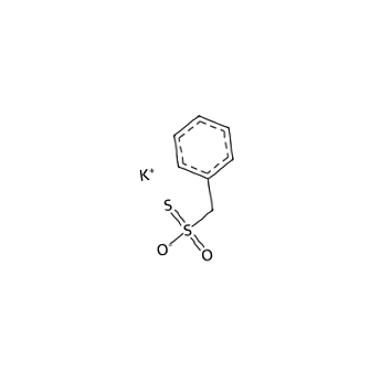 O=S([O-])(=S)Cc1ccccc1.[K+]